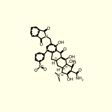 CN(C)[C@H]1C(O)=C(C(N)=O)C(=O)[C@]2(O)C(O)=C3C(=O)c4c(O)c(CN5C(=O)c6ccccc6C5=O)cc(-c5cccc([N+](=O)[O-])c5)c4C[C@@H]3C[C@H]12